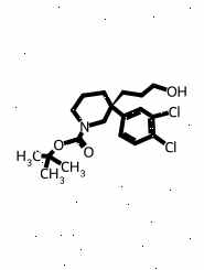 CC(C)(C)OC(=O)N1CCC[C@](CCCO)(c2ccc(Cl)c(Cl)c2)C1